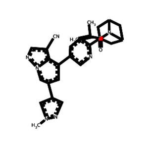 C=C(C)C(=O)N1C2CC1CN(c1ccc(-c3cc(-c4cnn(C)c4)cn4ncc(C#N)c34)cn1)C2